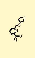 COC(=O)c1cccc(CO[C@H]2CCOC2)n1